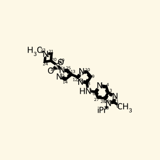 Cc1nc2cnc(Nc3ccnc(-c4cnn(S(=O)(=O)C5CN(C)C5)c4)n3)cc2n1C(C)C